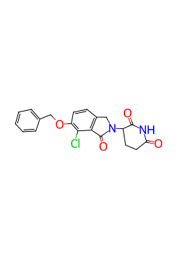 O=C1CCC(N2Cc3ccc(OCc4ccccc4)c(Cl)c3C2=O)C(=O)N1